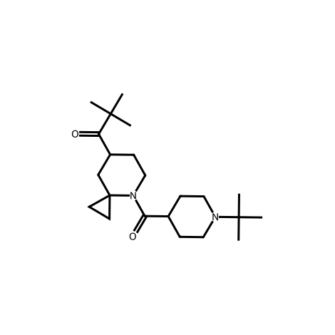 CC(C)(C)C(=O)C1CCN(C(=O)C2CCN(C(C)(C)C)CC2)C2(CC2)C1